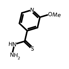 COc1cc(C(=S)NN)ccn1